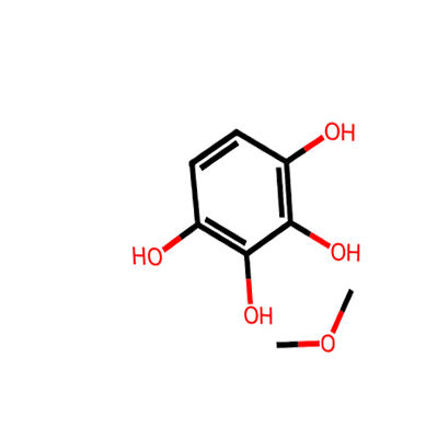 COC.Oc1ccc(O)c(O)c1O